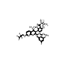 CC(=O)N(c1nn(C)c2c(C3C(=O)c4ccc(OCC(F)(F)C(F)F)nc4N=C3[C@H](Cc3cc(F)cc(F)c3)NC(=O)OC(C)(C)C)ccc(Cl)c12)S(C)(=O)=O